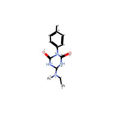 CC(=O)N(CC(C)C)C1NC(=O)N(c2ccc(C)cc2)C(=O)N1